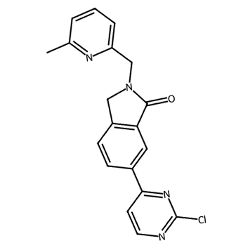 Cc1cccc(CN2Cc3ccc(-c4ccnc(Cl)n4)cc3C2=O)n1